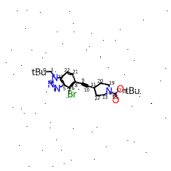 CC(C)(C)Cn1nnc2c(Br)c(C#CC3CCN(C(=O)OC(C)(C)C)CC3)ccc21